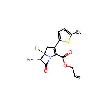 C=CCOC(=O)C1=C(c2ccc(CC)s2)C[C@@H]2[C@@H](C(C)C)C(=O)N12